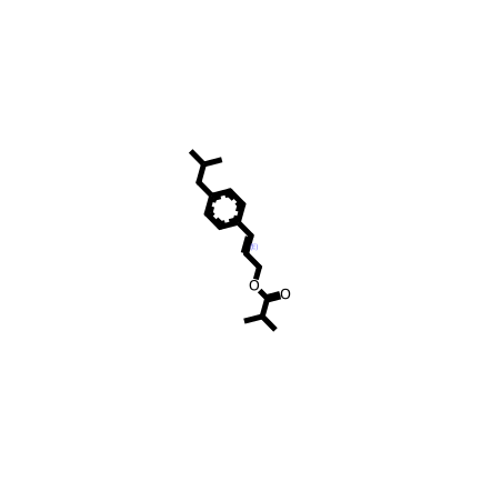 CC(C)Cc1ccc(/C=C/COC(=O)C(C)C)cc1